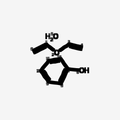 C=COC=C.O.Oc1ccccc1